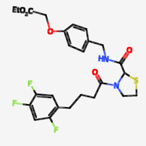 CCOC(=O)COc1ccc(CNC(=O)C2SCCN2C(=O)CCCc2cc(F)c(F)cc2F)cc1